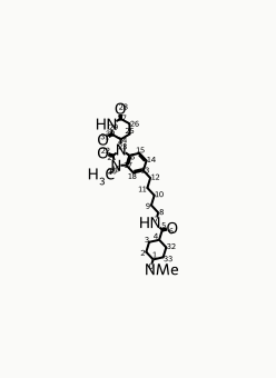 CNC1CCC(C(=O)NCCCCCc2ccc3c(c2)n(C)c(=O)n3C2CCC(=O)NC2=O)CC1